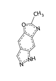 Cc1nc2cc3[nH]ncc3cc2o1